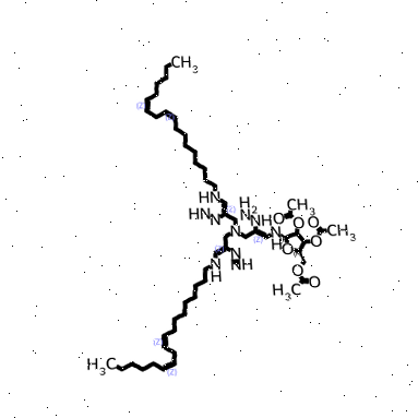 CCCCC/C=C\C/C=C\CCCCCCCCN/C=C(/CN(C/C(=C/NCCCCCCCC/C=C\C/C=C\CCCCC)N=N)C/C(=C/N[C@@H]1O[C@H](COC(C)=O)C(OC(C)=O)C1OC(C)=O)NN)N=N